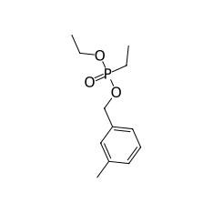 CCOP(=O)(CC)OCc1cccc(C)c1